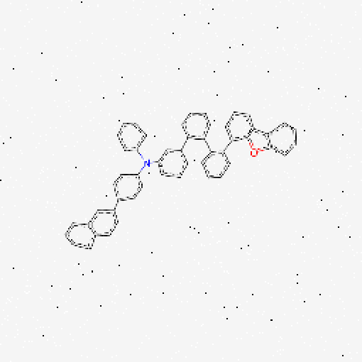 c1ccc(N(c2ccc(-c3ccc4ccccc4c3)cc2)c2cccc(-c3ccccc3-c3ccccc3-c3cccc4c3oc3ccccc34)c2)cc1